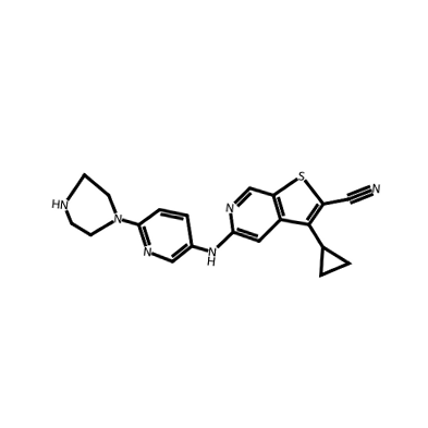 N#Cc1sc2cnc(Nc3ccc(N4CCNCC4)nc3)cc2c1C1CC1